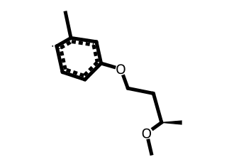 CO[C@H](C)CCOc1cc[c]c(C)c1